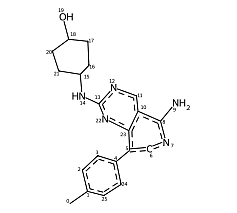 Cc1ccc(-c2cnc(N)c3cnc(NC4CCC(O)CC4)nc23)cc1